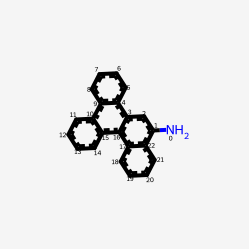 Nc1cc2c3ccccc3c3ccccc3c2c2ccccc12